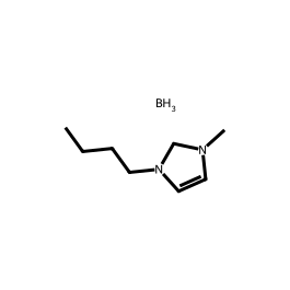 B.CCCCN1C=CN(C)C1